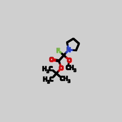 COC(F)(C(=O)OC(C)(C)C)N1CCCC1